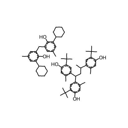 Cc1cc(Cc2cc(C)cc(C3CCCCC3)c2O)c(O)c(C2CCCCC2)c1.Cc1cc(O)c(C(C)(C)C)cc1C(C)CC(c1cc(C(C)(C)C)c(O)cc1C)c1cc(C(C)(C)C)c(O)cc1C